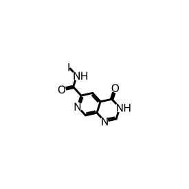 O=C(NI)c1cc2c(=O)[nH]cnc2cn1